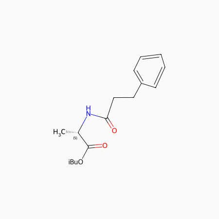 CC(C)COC(=O)[C@H](C)NC(=O)CCc1ccccc1